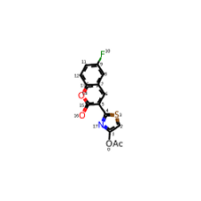 CC(=O)Oc1csc(-c2cc3cc(F)ccc3oc2=O)n1